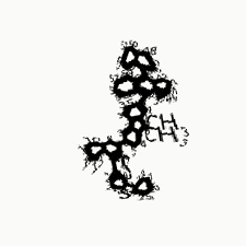 CC1(C)c2ccc(-c3cc4ccccc4c4c3sc3c4ccc4sc5ccccc5c43)cc2-c2ccc(-c3c4ccccc4c(-c4cccc5ccccc45)c4ccccc34)cc21